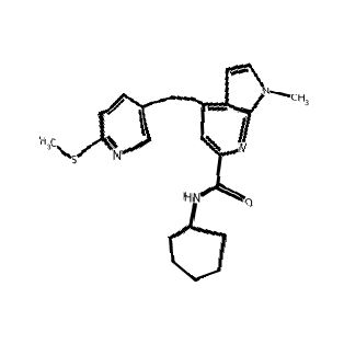 CSc1ccc(Cc2cc(C(=O)NC3CCCCC3)nc3c2ccn3C)cn1